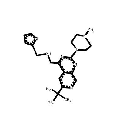 CN1CCN(c2nc(CNCc3cccs3)c3cc(C(C)(C)C)ncc3n2)CC1